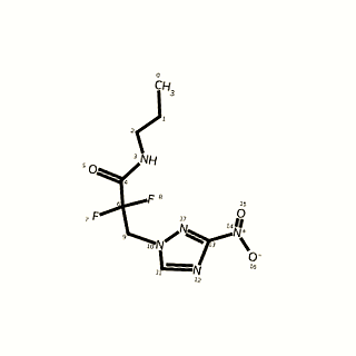 CCCNC(=O)C(F)(F)Cn1cnc([N+](=O)[O-])n1